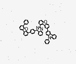 c1ccc(-c2cccc3c2oc2c(-c4ccc(-c5nc(-c6cccc7oc8ccc(-c9ccc%10c(c9)c9ccccc9n%10-c9ccccc9)cc8c67)nc6ccccc56)cc4)cccc23)cc1